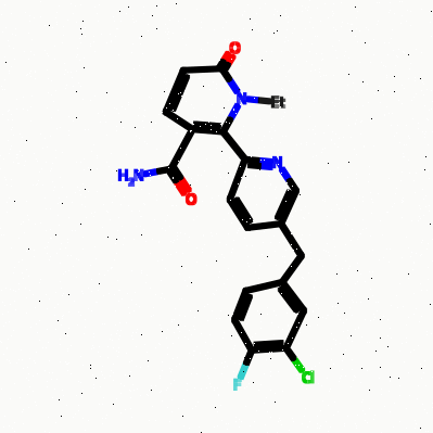 CCn1c(-c2ccc(Cc3ccc(F)c(Cl)c3)cn2)c(C(N)=O)ccc1=O